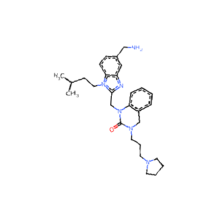 CC(C)CCn1c(CN2C(=O)N(CCCN3CCCC3)Cc3ccccc32)nc2cc(CN)ccc21